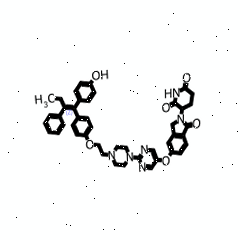 CC/C(=C(\c1ccc(O)cc1)c1ccc(OCCN2CCN(c3ncc(Oc4ccc5c(c4)CN(C4CCC(=O)NC4=O)C5=O)cn3)CC2)cc1)c1ccccc1